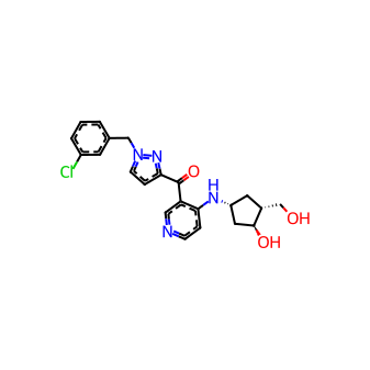 O=C(c1ccn(Cc2cccc(Cl)c2)n1)c1cnccc1N[C@@H]1C[C@H](CO)[C@@H](O)C1